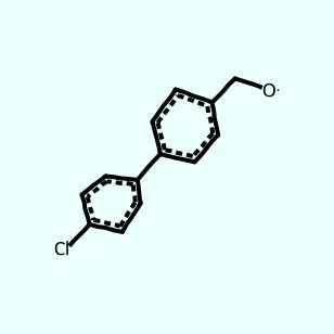 [O]Cc1ccc(-c2ccc(Cl)cc2)cc1